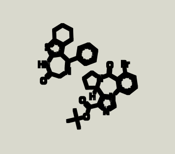 CC(C)(C)OC(=O)c1ncn2c1[C@@H]1CCCN1C(=O)c1c(Br)cccc1-2.O=C1CN=C(c2ccccc2)c2c(sc3c2CCCC3)N1